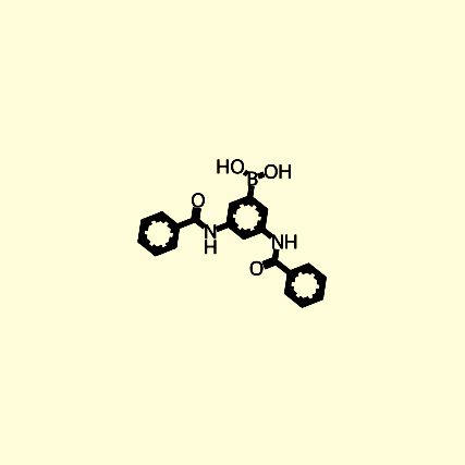 O=C(Nc1cc(NC(=O)c2ccccc2)cc(B(O)O)c1)c1ccccc1